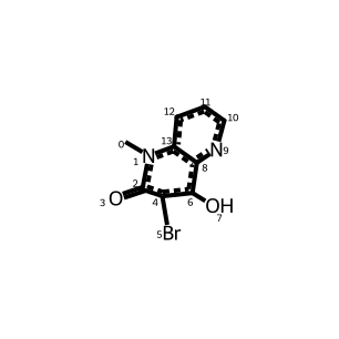 Cn1c(=O)c(Br)c(O)c2ncccc21